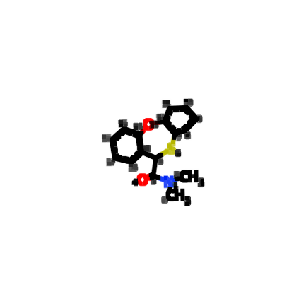 CN(C)C(=O)C1Sc2ccccc2Oc2ccccc21